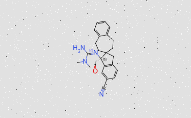 CN(C)/C(N)=N\[C@]1(C=O)c2cc(C#N)ccc2CC12CCc1ccccc1CC2